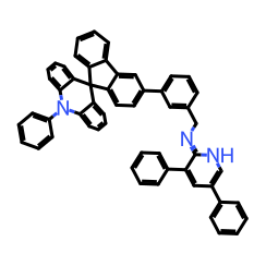 c1ccc(-c2c[nH]/c(=N\Cc3cccc(-c4ccc5c(c4)-c4ccccc4C54c5ccccc5N(c5ccccc5)c5ccccc54)c3)c(-c3ccccc3)c2)cc1